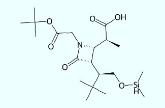 C[C@H](C(=O)O)[C@@H]1[C@H]([C@@H](CO[SiH](C)C)C(C)(C)C)C(=O)N1CC(=O)OC(C)(C)C